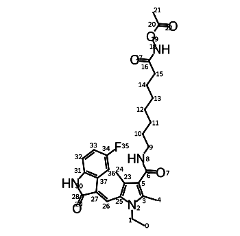 CCn1c(C)c(C(=O)NCCCCCCCC(=O)NOC(C)=O)c(C)c1C=C1C(=O)Nc2ccc(F)cc21